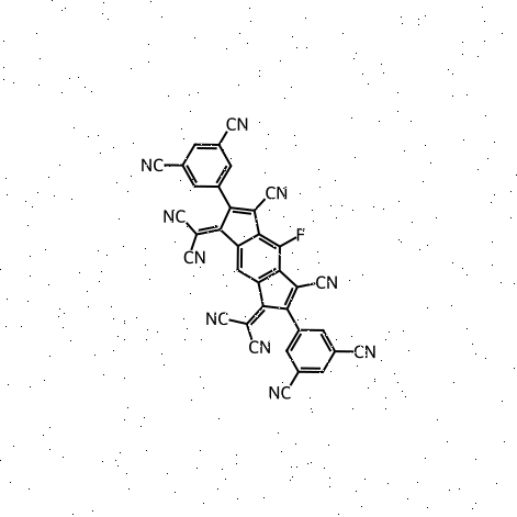 N#CC(C#N)=C1C(c2cc(C#N)cc(C#N)c2)=C(C#N)c2c1cc1c(c2F)C(C#N)=C(c2cc(C#N)cc(C#N)c2)C1=C(C#N)C#N